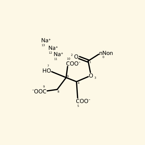 CCCCCCCCCC(=O)OC(C(=O)[O-])C(O)(CC(=O)[O-])C(=O)[O-].[Na+].[Na+].[Na+]